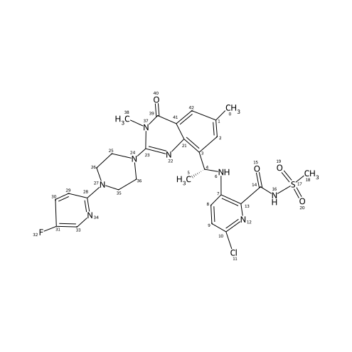 Cc1cc([C@@H](C)Nc2ccc(Cl)nc2C(=O)NS(C)(=O)=O)c2nc(N3CCN(c4ccc(F)cn4)CC3)n(C)c(=O)c2c1